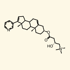 C[C@]12CC[C@H](OC(=O)C[C@@H](O)C[N+](C)(C)C)CC1=CCC1C2CC[C@]2(C)C(c3cccnc3)=CCC12